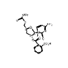 CNC(=O)OC[C@@H]1C[C@@H](OC(=O)c2ccccc2C(=O)O)[C@H]([N+]2(C)C=CC(N)=NC2=O)O1